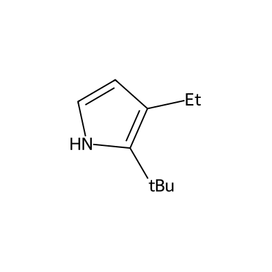 CCc1cc[nH]c1C(C)(C)C